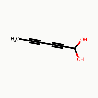 CC#CC#CC(O)O